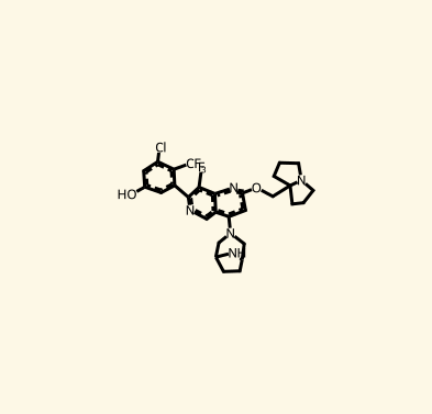 Oc1cc(Cl)c(C(F)(F)F)c(-c2ncc3c(N4CC5CCC(C4)N5)cc(OCC45CCCN4CCC5)nc3c2F)c1